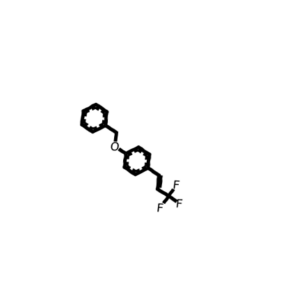 FC(F)(F)C=Cc1ccc(OCc2ccccc2)cc1